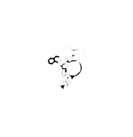 CN1CCC/C=C\C2C[C@@]2(C(=O)NS(=O)(=O)C2CC2)NC(=O)[C@@H]2CC(Oc3nccc4ccccc34)CN2C(=O)[C@@H](NC(=O)OC(C)(C)C)C1